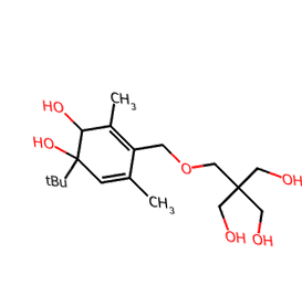 CC1=CC(O)(C(C)(C)C)C(O)C(C)=C1COCC(CO)(CO)CO